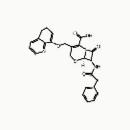 O=C(Cc1ccccc1)N[C@@H]1C(=O)N2C(C(=O)O)=C(COC3=CCCc4cccnc43)CS[C@H]12